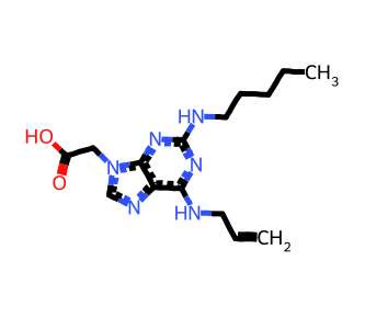 C=CCNc1nc(NCCCCC)nc2c1ncn2CC(=O)O